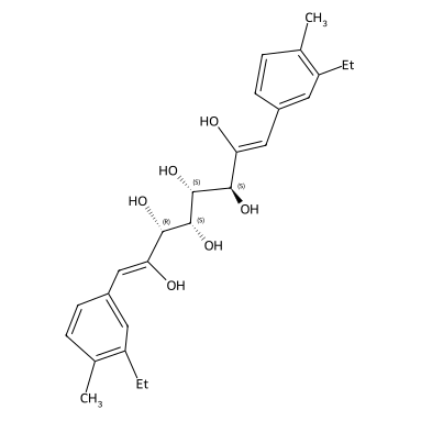 CCc1cc(C=C(O)[C@@H](O)[C@@H](O)[C@H](O)[C@@H](O)C(O)=Cc2ccc(C)c(CC)c2)ccc1C